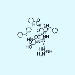 N=C(N)NCCC[C@H](NC(=O)[C@@H]1C[C@@H](Cc2ccccc2)[C@@H]2CC[C@H](NC(=O)C3CCCCC3)C(=O)N12)C(=O)N[C@@H](CC(=O)O)C(=O)NCCC(c1ccccc1)c1ccccc1